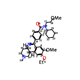 CCOc1cc2c(cc1OC)C(c1ccc(C(=O)N(CCOC)C3CCCCC3)cc1)=N[C@@H]1CCN(C)C[C@H]21